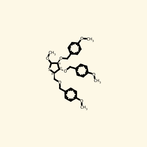 COc1ccc(COC[C@H]2SC(OC)[C@@H](OCc3ccc(OC)cc3)[C@@H]2OCc2ccc(OC)cc2)cc1